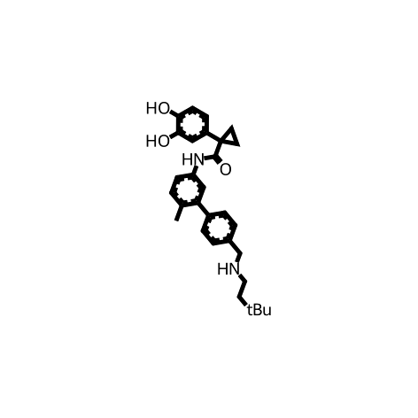 Cc1ccc(NC(=O)C2(c3ccc(O)c(O)c3)CC2)cc1-c1ccc(CNCCC(C)(C)C)cc1